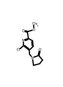 COC(=O)c1ccc(CN2CCCC2=O)c(Cl)n1